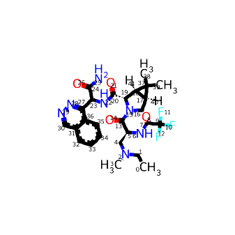 CCN(C)C[C@H](NC(=O)C(F)(F)F)C(=O)N1C[C@H]2[C@@H]([C@H]1C(=O)NC(C(N)=O)c1nncc3ccccc13)C2(C)C